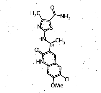 COc1cc2[nH]c(=O)c([C@H](C)Nc3nc(C)c(C(N)=O)s3)cc2cc1Cl